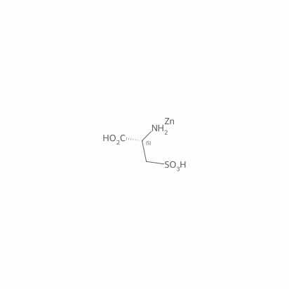 N[C@H](CS(=O)(=O)O)C(=O)O.[Zn]